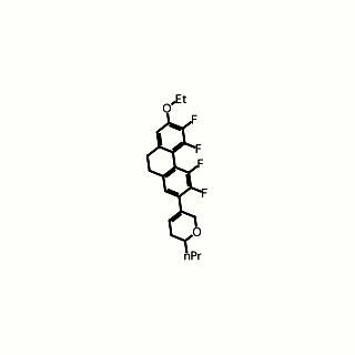 CCCC1CC=C(c2cc3c(c(F)c2F)-c2c(cc(OCC)c(F)c2F)CC3)CO1